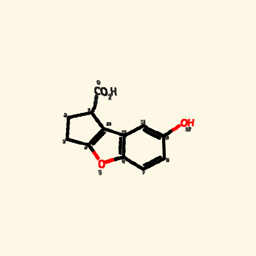 O=C(O)C1CCc2oc3ccc(O)cc3c21